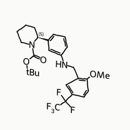 COc1ccc(C(F)(F)C(F)(F)F)cc1CNc1cccc([C@@H]2CCCCN2C(=O)OC(C)(C)C)c1